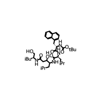 CCC(C)[C@@H](CO)NC(=O)CC(O)C(CC(C)C)NC(=O)[C@H](CC(C)C)NC(=O)[C@H](Cc1cccc2ccccc12)NC(=O)OC(C)(C)C